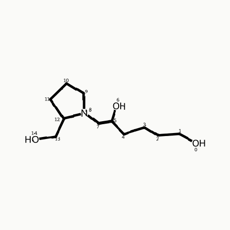 OCCCCC(O)CN1CCCC1CO